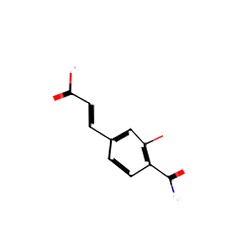 NC(=O)c1ccc(/C=C/C(=O)O)cc1O